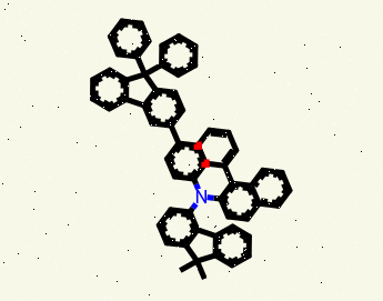 CC1(C)c2ccccc2-c2c(N(c3ccc(-c4ccc5c(c4)-c4ccccc4C5(c4ccccc4)c4ccccc4)cc3)c3ccc4ccccc4c3C3=CC=CCC3)cccc21